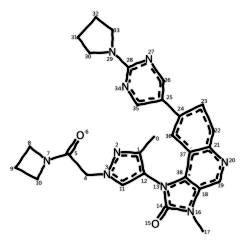 Cc1nn(CC(=O)N2CCC2)cc1-n1c(=O)n(C)c2cnc3ccc(-c4cnc(N5CCCC5)nc4)cc3c21